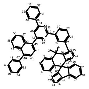 CC1(C)c2ccccc2C2(c3ccccc3-c3ccccc32)c2cccc(-c3cccc(-c4nc(-c5ccccc5)cc(-c5ccc(-c6ccccc6)c6ccccc56)n4)c3)c21